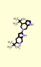 CC(C)(C)C1Cc2cc(N3Cc4[nH]ccc4C(C(C)(C)C)C3)[nH]c2CN1